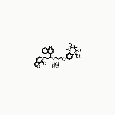 CCN1C(=O)C(C)(C)C(=O)N(C)c2cc(OCCCNC(CCn3ccc4ccoc4c3=O)c3ccnc4ccccc34)ccc21.Cl.Cl